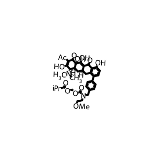 COCCN(Cc1ccc(-c2ccc(O)c3c2C[C@H]2C[C@H]4[C@H](N(C)C)C(O)=C(C(C)=O)C(=O)[C@@]4(O)C(O)=C2C3=O)cc1)C(=O)OCOC(=O)C(C)C